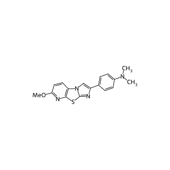 COc1ccc2c(n1)sc1nc(-c3ccc(N(C)C)cc3)cn12